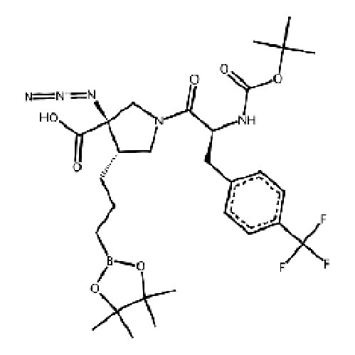 CC(C)(C)OC(=O)N[C@@H](Cc1ccc(C(F)(F)F)cc1)C(=O)N1C[C@H](CCCB2OC(C)(C)C(C)(C)O2)[C@](N=[N+]=[N-])(C(=O)O)C1